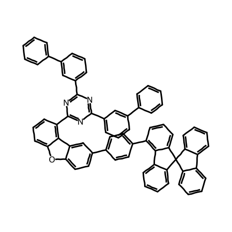 c1ccc(-c2cccc(-c3nc(-c4cccc(-c5ccccc5)c4)nc(-c4cccc5oc6ccc(-c7ccc(-c8cccc9c8-c8ccccc8C98c9ccccc9-c9ccccc98)cc7)cc6c45)n3)c2)cc1